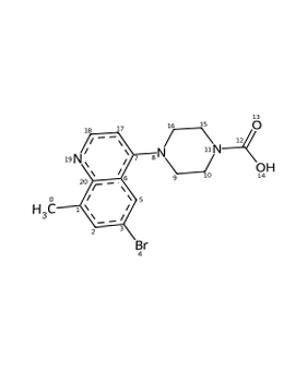 Cc1cc(Br)cc2c(N3CCN(C(=O)O)CC3)ccnc12